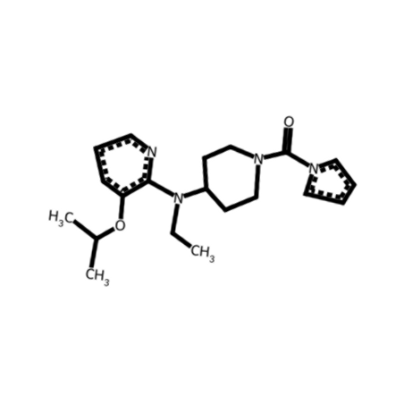 CCN(c1ncccc1OC(C)C)C1CCN(C(=O)n2cccc2)CC1